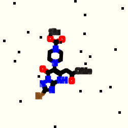 COC(=O)Cc1[nH]c2nc(Br)nn2c(=O)c1N1CCN(C(=O)OC(C)(C)C)CC1